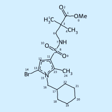 COC(=O)C(C)(C)CNS(=O)(=O)c1cc(Br)n(CC2CCCCC2)c1C